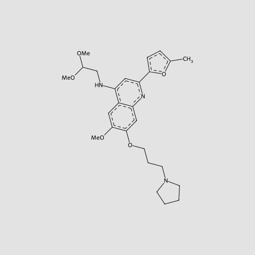 COc1cc2c(NCC(OC)OC)cc(-c3ccc(C)o3)nc2cc1OCCCN1CCCC1